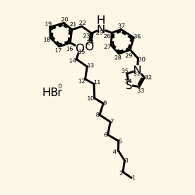 Br.CCCCCCCCCCCCCCOc1ccccc1CC(=O)Nc1ccc(CN2C=CSC2)cc1